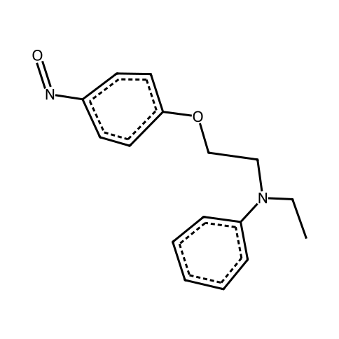 CCN(CCOc1ccc(N=O)cc1)c1ccccc1